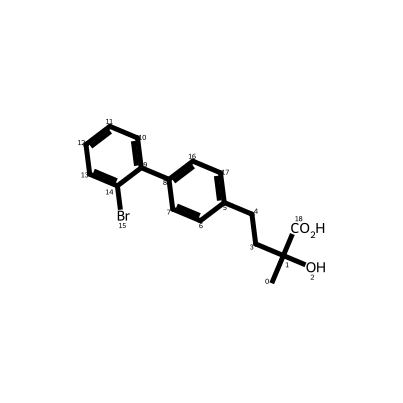 CC(O)(CCc1ccc(-c2ccccc2Br)cc1)C(=O)O